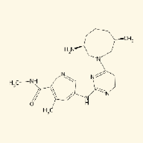 CNC(=O)C1=C(C)C=C(Nc2nccc(N3C[C@H](C)CCC[C@H](N)C3)n2)C=NC1